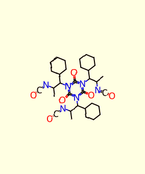 CC(N=C=O)C(C1CCCCC1)n1c(=O)n(C(C2CCCCC2)C(C)N=C=O)c(=O)n(C(C2CCCCC2)C(C)N=C=O)c1=O